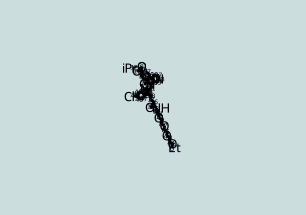 CCOCCOCCOCCOCCNC(=O)CCCn1c(CN2C(=O)C3(CCN(C(=O)OC(C)C)CC3)c3ccncc32)nc2cc(Cl)ccc21